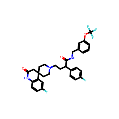 O=C1CC2(CCN(CCC(C(=O)NCc3cccc(OC(F)(F)F)c3)c3ccc(F)cc3)CC2)c2cc(F)ccc2N1